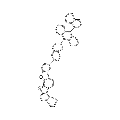 c1ccc2c(-c3c4ccccc4c(-c4ccc5cc(-c6ccc7oc8c(ccc9c8sc8ccc%10ccccc%10c89)c7c6)ccc5c4)c4ccccc34)cccc2c1